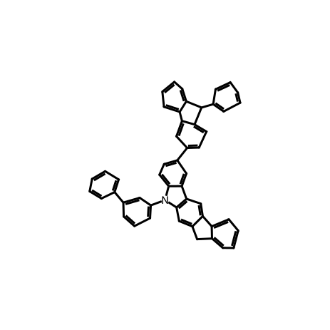 c1ccc(-c2cccc(-n3c4ccc(-c5ccc6c(c5)-c5ccccc5C6c5ccccc5)cc4c4cc5c(cc43)Cc3ccccc3-5)c2)cc1